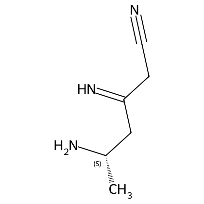 C[C@H](N)CC(=N)CC#N